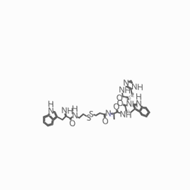 C/C(=N\C(=O)CCSSCCNC(=O)C(=N)Cc1c[nH]c2ccccc12)C(=O)N[C@@H](Cc1c[nH]c2ccccc12)C(=O)N[C@@H](Cc1cnc[nH]1)C(N)=O